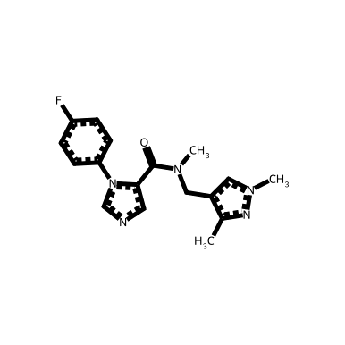 Cc1nn(C)cc1CN(C)C(=O)c1cncn1-c1ccc(F)cc1